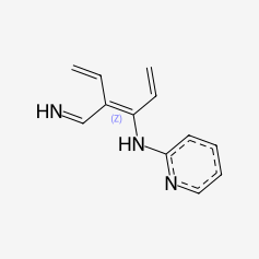 C=C/C(C=N)=C(\C=C)Nc1ccccn1